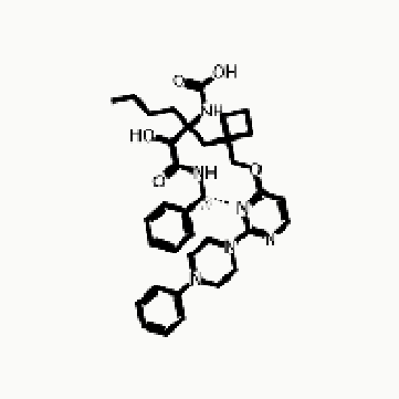 CCCCC(CC1(COc2ccnc(N3CCN(c4ccccc4)CC3)n2)CCC1)(NC(=O)O)C(O)C(=O)N[C@H](C)c1ccccc1